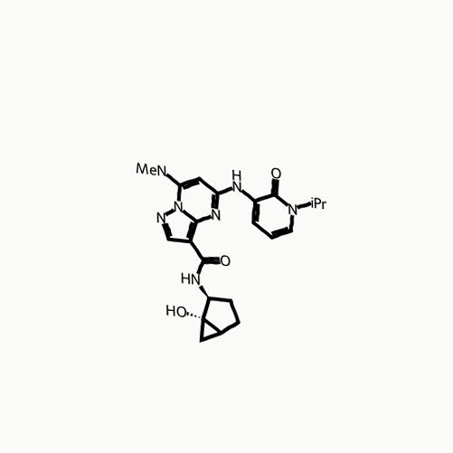 CNc1cc(Nc2cccn(C(C)C)c2=O)nc2c(C(=O)N[C@H]3CCC4C[C@]43O)cnn12